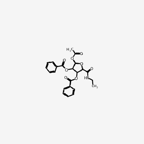 CCNC(=O)C1OC(OC(C)=O)C(OC(=O)c2ccccc2)C1OC(=O)c1ccccc1